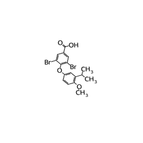 COc1ccc(Oc2c(Br)cc(C(=O)O)cc2Br)cc1C(C)C